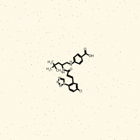 CC(C)(C)CC(CNc1ccc(C(=O)O)cc1)NC(=O)/C=C/c1cc(Cl)ccc1-n1cnnn1